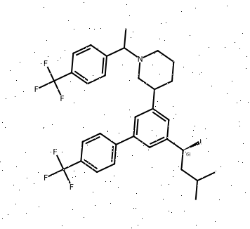 CC(C)C[C@H](I)c1cc(-c2ccc(C(F)(F)F)cc2)cc(C2CCCN(C(C)c3ccc(C(F)(F)F)cc3)C2)c1